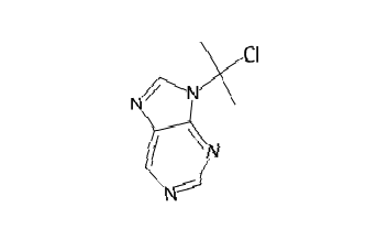 CC(C)(Cl)n1cnc2cncnc21